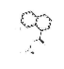 O=C(O[N+](=O)[O-])c1cccc2ccccc12.[MgH2]